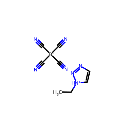 CC[NH+]1C=CN=N1.N#C[B-](C#N)(C#N)C#N